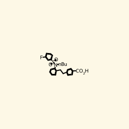 CCCCN(c1ccccc1CCc1ccc(C(=O)O)cc1)S(=O)(=O)c1cccc(F)c1